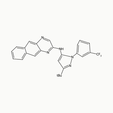 CC(C)(C)c1cc(Nc2cnc3cc4ccccc4cc3n2)n(-c2cccc(C(F)(F)F)c2)n1